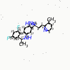 Cc1cccnc1C=Cc1n[nH]c2ccc(NC(C)c3cc(F)cc(F)c3)cc12